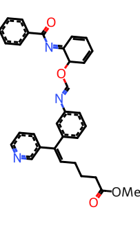 COC(=O)CCCC=C(c1cccnc1)c1cccc(N=COC2C=CC=CC2=NC(=O)c2ccccc2)c1